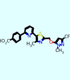 Cc1nc(COc2cc(C(F)(F)F)nn2C)sc1-c1cccc(-c2ccc(C(=O)O)cc2)n1